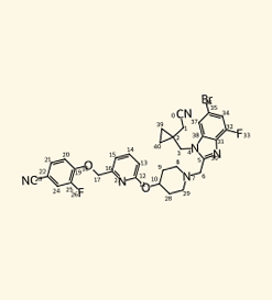 N#CCC1(Cn2c(CN3CCC(Oc4cccc(COc5ccc(C#N)cc5F)n4)CC3)nc3c(F)cc(Br)cc32)CC1